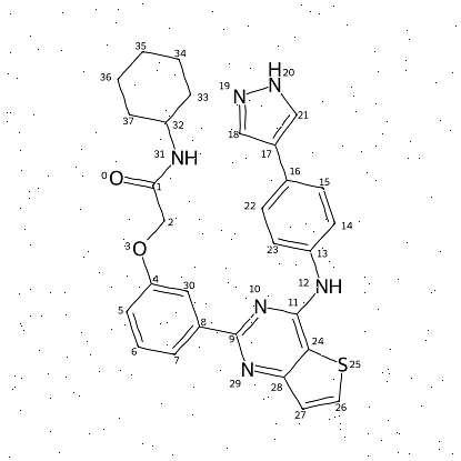 O=C(COc1cccc(-c2nc(Nc3ccc(-c4cn[nH]c4)cc3)c3sccc3n2)c1)NC1CCCCC1